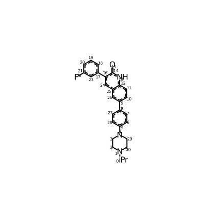 CC(C)N1CCN(c2ccc(-c3ccc4[nH]c(=O)c(-c5cccc(F)c5)cc4c3)cc2)CC1